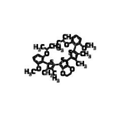 COc1cccc(OC(C)C)c1-c1sc(-c2sc(-c3sc(-c4c(OC)cccc4OC(C)C)c(C)c3C)c3c2OCCO3)c(C)c1C